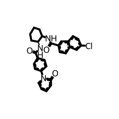 O=C(NC1CCCC[C@@H]1NC(=O)c1ccc(-n2ccccc2=O)cc1)c1ccc2cc(Cl)ccc2c1